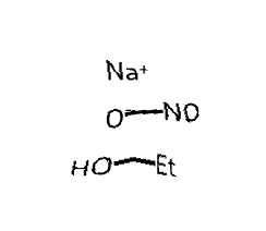 CCO.O=N[O-].[Na+]